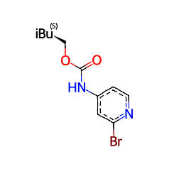 CC[C@H](C)COC(=O)Nc1ccnc(Br)c1